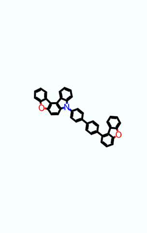 c1ccc2c(c1)oc1cccc(-c3ccc(-c4ccc(-n5c6ccccc6c6c7c(ccc65)oc5ccccc57)cc4)cc3)c12